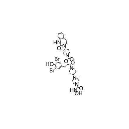 C[C@@H]1CN(C(=O)NO)CCN1C1CCN(C(=O)C(Cc2cc(Br)c(O)c(Br)c2)OC(=O)N2CCC(N3CCc4ccccc4NC3=O)CC2)CC1